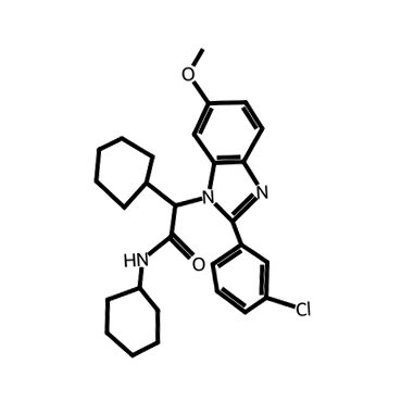 COc1ccc2nc(-c3cccc(Cl)c3)n(C(C(=O)NC3CCCCC3)C3CCCCC3)c2c1